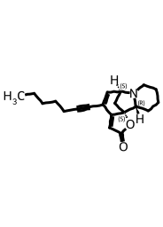 CCCCCC#CC1=C[C@@H]2C[C@@]3(OC(=O)C=C13)[C@H]1CCCCN21